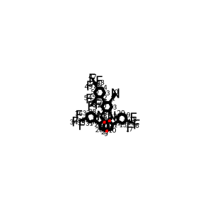 N#Cc1cc(-n2c3ccccc3c3cc(C(F)(F)F)ccc32)c(-n2c3ccccc3c3cc(C(F)(F)F)ccc32)cc1-c1ccc(C(F)(F)F)cc1C(F)(F)F